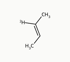 [2H]C(C)=CC